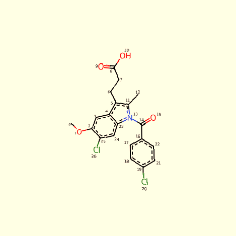 COc1cc2c(CCC(=O)O)c(C)n(C(=O)c3ccc(Cl)cc3)c2cc1Cl